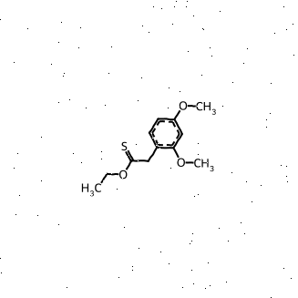 CCOC(=S)Cc1ccc(OC)cc1OC